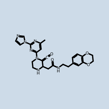 Cc1cc(N2CCNC(CC(=O)NCCc3ccc4c(c3)OCCO4)C2=C=O)nc(-n2ccnc2)n1